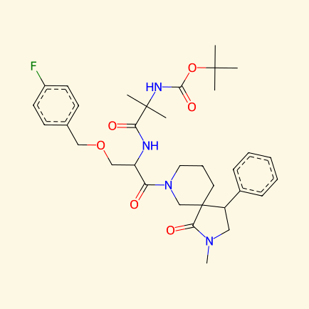 CN1CC(c2ccccc2)C2(CCCN(C(=O)C(COCc3ccc(F)cc3)NC(=O)C(C)(C)NC(=O)OC(C)(C)C)C2)C1=O